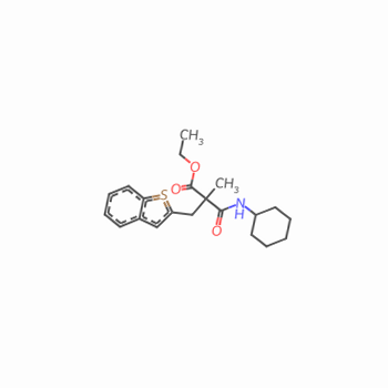 CCOC(=O)C(C)(Cc1cc2ccccc2s1)C(=O)NC1CCCCC1